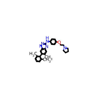 Cc1cc2nc(Nc3ccc(OCCN4CCCC4)cc3)nnc2cc1-c1c(C)cccc1C